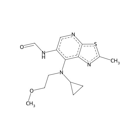 COCCN(c1c(NC=O)cnc2sc(C)nc12)C1CC1